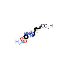 NS(=O)(=O)c1ccc(Nc2nccc(-c3ccc(/C=C/C(=O)O)s3)n2)cc1